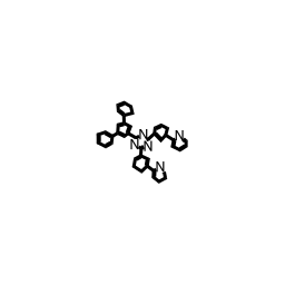 C1=CCCC(c2cc(-c3ccccc3)cc(-c3nc(C4=CCCC(C5=CCCC=N5)=C4)nc(C4=CC(c5ccccn5)CC=C4)n3)c2)=C1